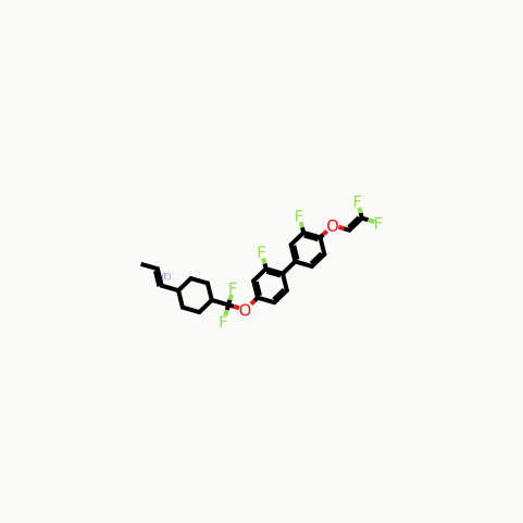 C/C=C/C1CCC(C(F)(F)Oc2ccc(-c3ccc(OC=C(F)F)c(F)c3)c(F)c2)CC1